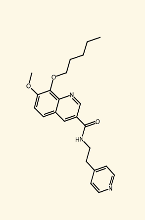 CCCCCOc1c(OC)ccc2cc(C(=O)NCCc3ccncc3)cnc12